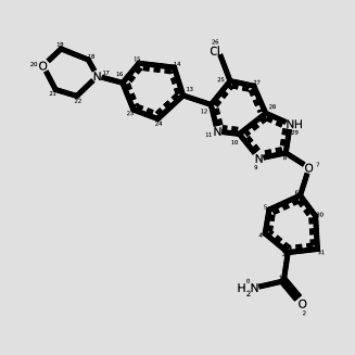 NC(=O)c1ccc(Oc2nc3nc(-c4ccc(N5CCOCC5)cc4)c(Cl)cc3[nH]2)cc1